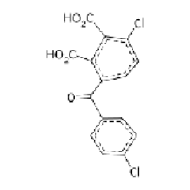 O=C(c1ccc(Cl)cc1)c1ccc(Cl)c(C(=O)O)c1C(=O)O